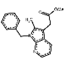 COC(=O)Cc1c(C)n(Cc2ccccc2)c2ncccc12